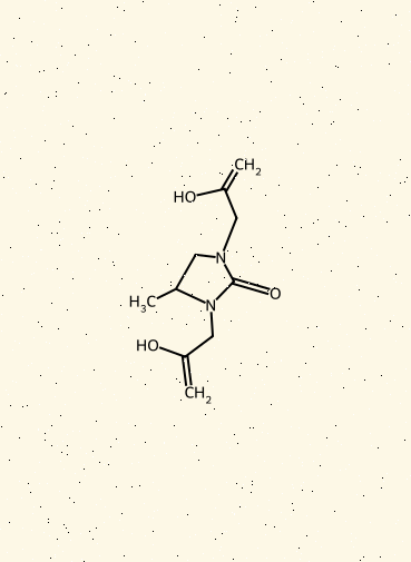 C=C(O)CN1CC(C)N(CC(=C)O)C1=O